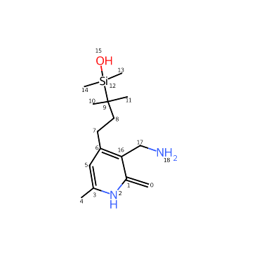 C=C1NC(C)=CC(CCC(C)(C)[Si](C)(C)O)=C1CN